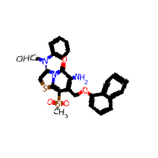 CS(=O)(=O)c1c(COc2cccc3ccccc23)c(N)c(=O)n2c1SC[C@@H]2N(C=O)c1ccccc1